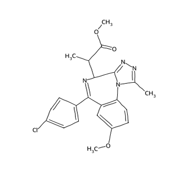 COC(=O)C(C)C1N=C(c2ccc(Cl)cc2)c2cc(OC)ccc2-n2c(C)nnc21